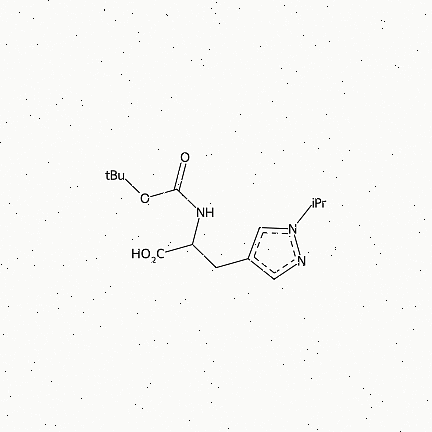 CC(C)n1cc(CC(NC(=O)OC(C)(C)C)C(=O)O)cn1